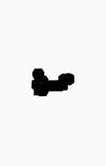 c1ccc(-c2ccc(N(c3ccc(-c4ccc5sc6c7ccccc7ccc6c5c4)cc3)c3cccc4sc5ccccc5c34)cc2)cc1